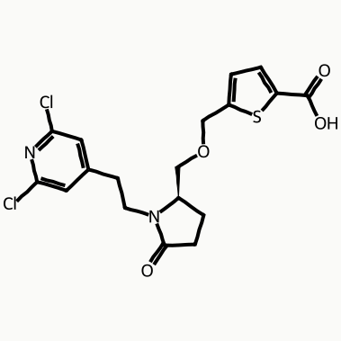 O=C(O)c1ccc(COC[C@H]2CCC(=O)N2CCc2cc(Cl)nc(Cl)c2)s1